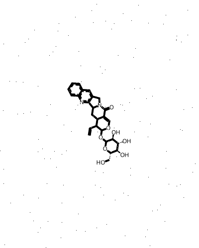 C=CC1C(OC2O[C@@H](CO)[C@H](O)[C@@H](O)[C@@H]2O)OC=C2C(=O)N3Cc4cc5ccccc5nc4C3CC21